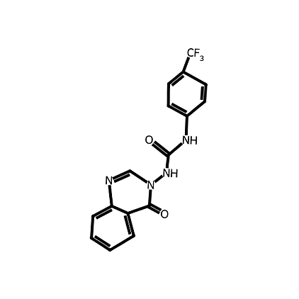 O=C(Nc1ccc(C(F)(F)F)cc1)Nn1cnc2ccccc2c1=O